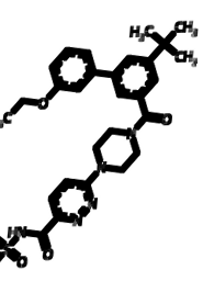 CCOc1cccc(-c2cc(C(=O)N3CCN(c4ccc(C(=O)NS(C)(=O)=O)nn4)CC3)cc(C(C)(C)C)c2)c1